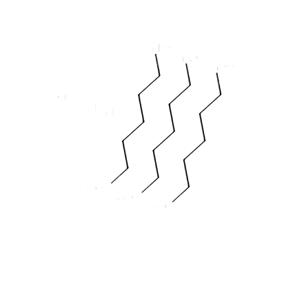 CCCCCCCCCCCCCCCC(=O)[O-].CCCCCCCCCCCCCCCC(=O)[O-].CCCCCCCCCCCCCCCC(=O)[O-].[Cl-].[Cl-].[Cl-].[Cr+3].[Cr+3]